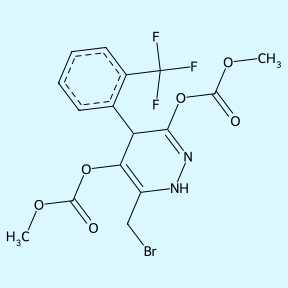 COC(=O)OC1=NNC(CBr)=C(OC(=O)OC)C1c1ccccc1C(F)(F)F